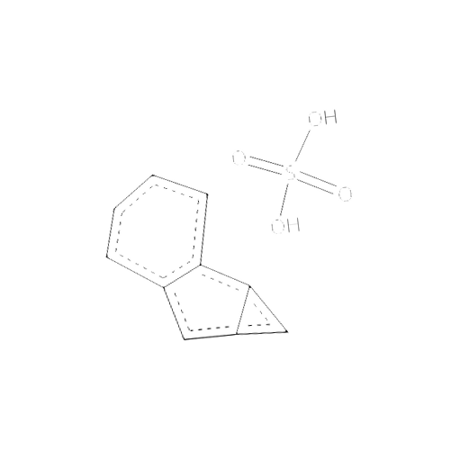 O=S(=O)(O)O.c1ccc2c3cc-3cc2c1